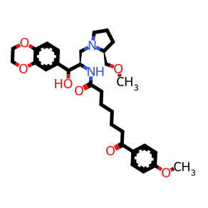 COC[C@@H]1CCCN1C[C@@H](NC(=O)CCCCCC(=O)c1ccc(OC)cc1)C(O)c1ccc2c(c1)OCCO2